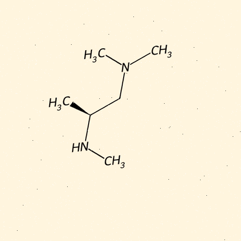 CN[C@@H](C)CN(C)C